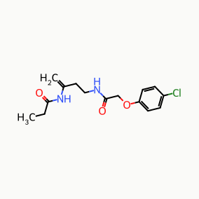 C=C(CCNC(=O)COc1ccc(Cl)cc1)NC(=O)CC